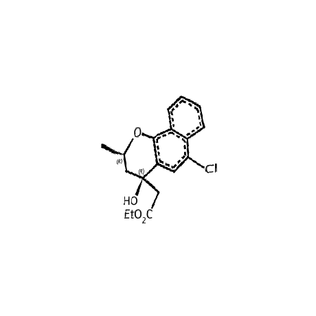 CCOC(=O)C[C@]1(O)C[C@@H](C)Oc2c1cc(Cl)c1ccccc21